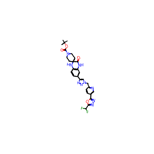 CC(C)(C)OC(=O)N1CCC2(CC1)Nc1ccc(-c3cn(Cc4ccc(-c5nnc(C(F)F)o5)cn4)nn3)cc1NC2=O